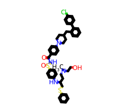 CN(CCO)CCC(CSc1ccccc1)Nc1ccc([S+]([O-])NC(=O)c2ccc(N3CCC(Cc4ccccc4-c4ccc(Cl)cc4)CC3)cc2)cc1